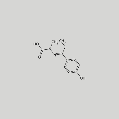 CCC(=NN(C)C(=O)O)c1ccc(O)cc1